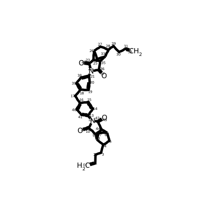 C=CCCC1CC2CC1C1C(=O)N(c3ccc(Cc4ccc(N5C(=O)C6C7CC(CCC=C)C(C7)C6C5=O)cc4)cc3)C(=O)C21